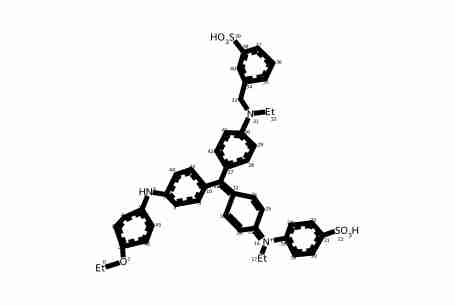 CCOc1ccc(Nc2ccc(C(=C3C=CC(=[N+](CC)c4ccc(S(=O)(=O)O)cc4)C=C3)c3ccc(N(CC)Cc4cccc(S(=O)(=O)O)c4)cc3)cc2)cc1